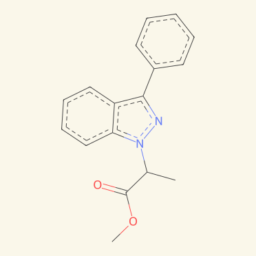 COC(=O)C(C)n1nc(-c2ccccc2)c2ccccc21